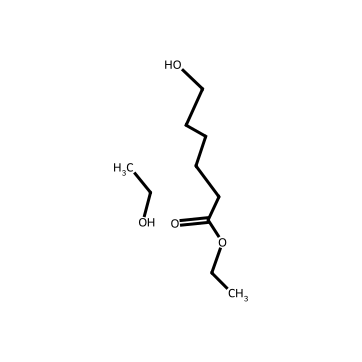 CCO.CCOC(=O)CCCCCO